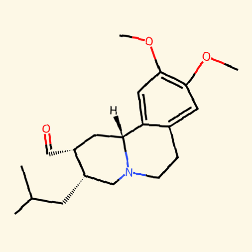 COc1cc2c(cc1OC)[C@H]1C[C@@H](C=O)[C@@H](CC(C)C)CN1CC2